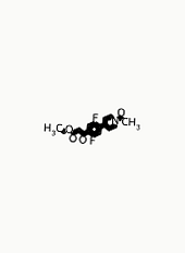 CCOC(=O)CC(=O)c1cc(F)c(C2CCN(C(C)=O)CC2)cc1F